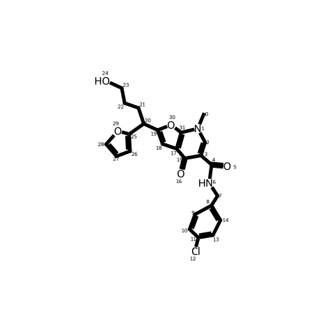 Cn1cc(C(=O)NCc2ccc(Cl)cc2)c(=O)c2cc(C(CCCO)c3ccco3)oc21